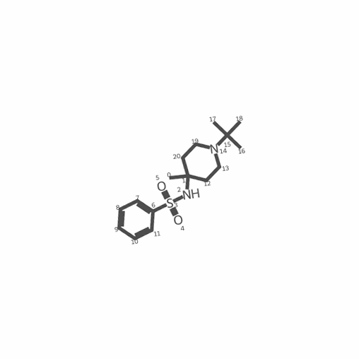 CC1(NS(=O)(=O)c2ccccc2)CCN(C(C)(C)C)CC1